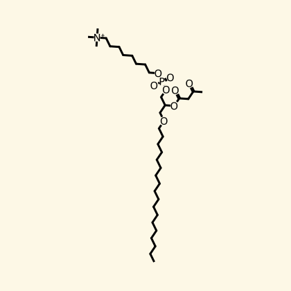 CCCCCCCCCCCCCCCCCCOCC(COP(=O)([O-])OCCCCCCCC[N+](C)(C)C)OC(=O)CC(C)=O